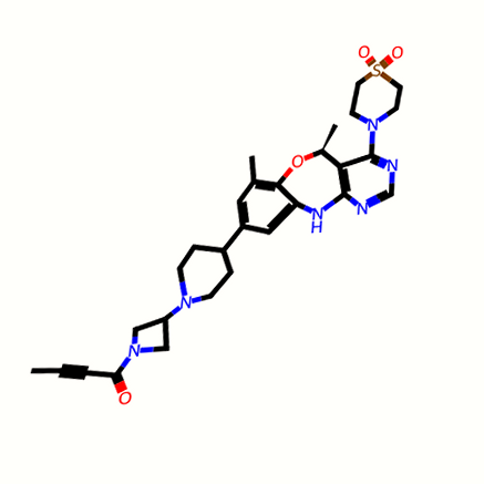 CC#CC(=O)N1CC(N2CCC(c3cc(C)c4c(c3)Nc3ncnc(N5CCS(=O)(=O)CC5)c3[C@H](C)O4)CC2)C1